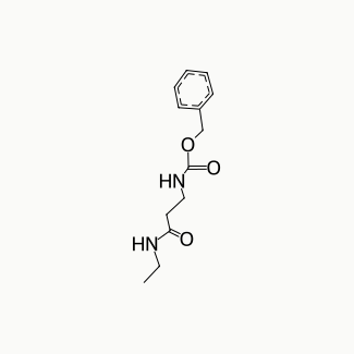 CCNC(=O)CCNC(=O)OCc1ccccc1